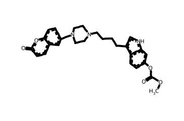 COC(=O)Oc1ccc2c(CCCCN3CCN(c4ccc5oc(=O)ccc5c4)CC3)c[nH]c2c1